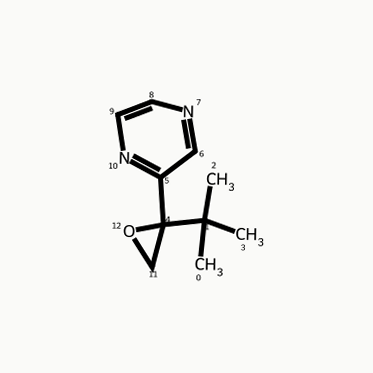 CC(C)(C)C1(c2cnccn2)CO1